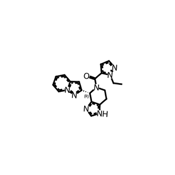 CCn1nccc1C(=O)N1CCc2[nH]cnc2[C@@H]1c1cc2ccccn2n1